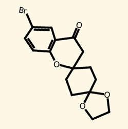 O=C1CC2(CCC3(CC2)OCCO3)Oc2ccc(Br)cc21